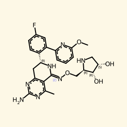 COc1cccc(-c2cc(F)ccc2[C@H]2Cc3nc(N)nc(C)c3/C(=N/OC[C@H]3NC[C@H](O)[C@@H]3O)N2)n1